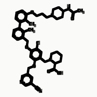 CC(=O)NC1CCN(CCCOc2cccc(-c3cccc(COc4cc(OCc5cncc(C#N)c5)c(CN5CCCCC5C(=O)O)cc4Cl)c3C)c2C)CC1